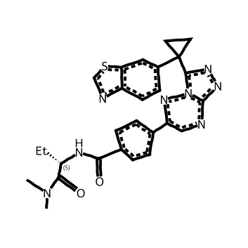 CC[C@H](NC(=O)c1ccc(-c2cnc3nnc(C4(c5ccc6ncsc6c5)CC4)n3n2)cc1)C(=O)N(C)C